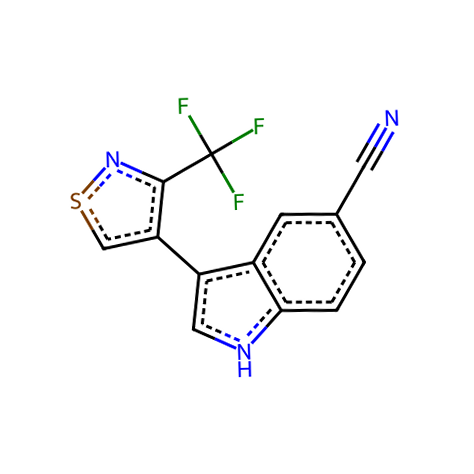 N#Cc1ccc2[nH]cc(-c3csnc3C(F)(F)F)c2c1